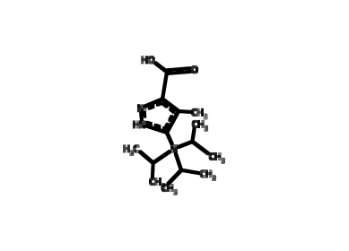 Cc1c(C(=O)O)n[nH]c1[Si](C(C)C)(C(C)C)C(C)C